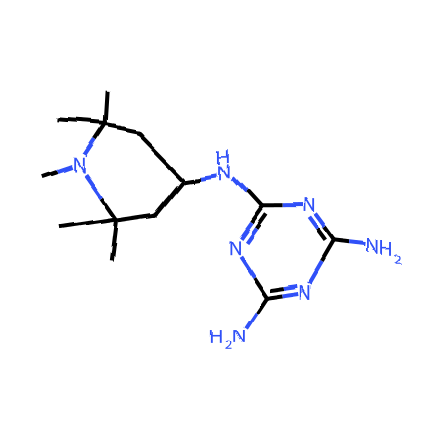 CN1C(C)(C)CC(Nc2nc(N)nc(N)n2)CC1(C)C